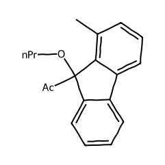 CCCOC1(C(C)=O)c2ccccc2-c2cccc(C)c21